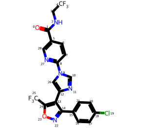 O=C(NCC(F)(F)F)c1ccc(-n2cnc(-c3c(-c4ccc(Cl)cc4)noc3C(F)(F)F)c2)nc1